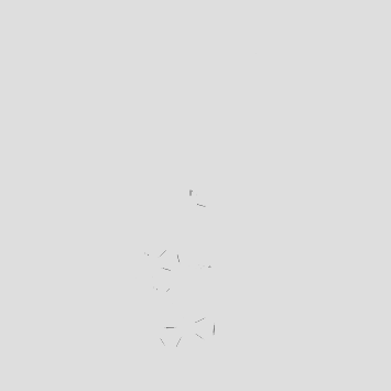 COc1cc(C(C)NC(=O)OCC2c3ccccc3-c3ccccc32)c([N+](=O)[O-])cc1OCCCC(=O)NCCOCCOCCOCCOCCC(=O)O